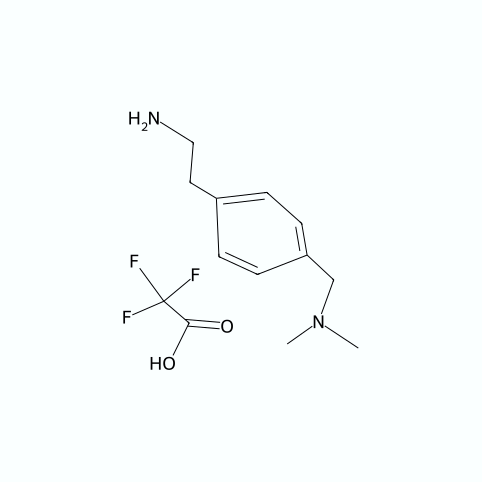 CN(C)Cc1ccc(CCN)cc1.O=C(O)C(F)(F)F